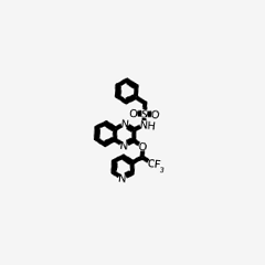 O=S(=O)(Cc1ccccc1)Nc1nc2ccccc2nc1OC(c1cccnc1)C(F)(F)F